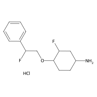 Cl.NC1CCC(OCC(F)c2ccccc2)C(F)C1